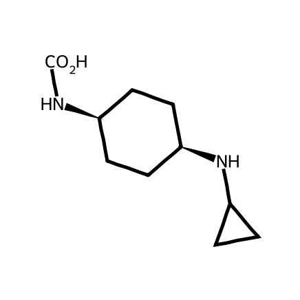 O=C(O)N[C@H]1CC[C@@H](NC2CC2)CC1